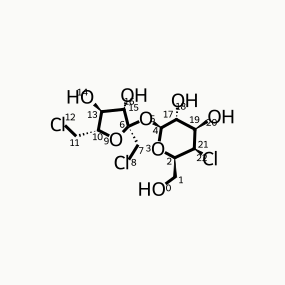 OC[C@H]1O[C@@H](O[C@@]2(CCl)O[C@H](CCl)[C@@H](O)[C@@H]2O)[C@H](O)[C@@H](O)[C@H]1Cl